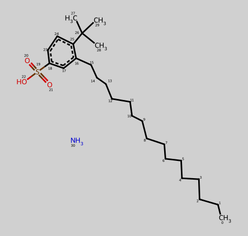 CCCCCCCCCCCCCCCCc1cc(S(=O)(=O)O)ccc1C(C)(C)C.N